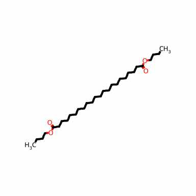 CCCCOC(=O)CCCCCCCCCCCCCCCCCCCCC(=O)OCCCC